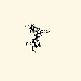 COc1ncc(-c2cc(C(F)(F)F)c3c(N)ncnn23)cc1C(=O)NC1CNCC1F